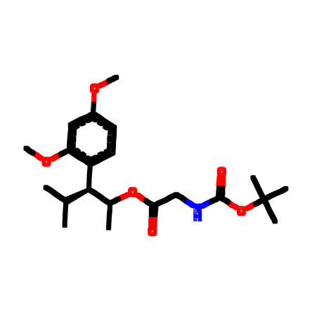 COc1ccc([C@H](C(C)C)C(C)OC(=O)CNC(=O)OC(C)(C)C)c(OC)c1